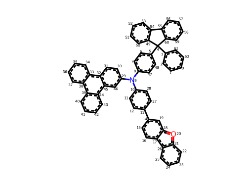 c1ccc(C2(c3ccc(N(c4ccc(-c5ccc6c(c5)oc5ccccc56)cc4)c4ccc5c6ccccc6c6ccccc6c5c4)cc3)c3ccccc3-c3ccccc32)cc1